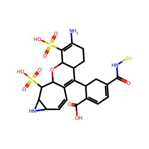 NC1=C(S(=O)(=O)O)C2OC3C(=C(C4CC(C(=O)NS)=CC=C4C(=O)O)C2CC1)C=CC1NC1C3S(=O)(=O)O